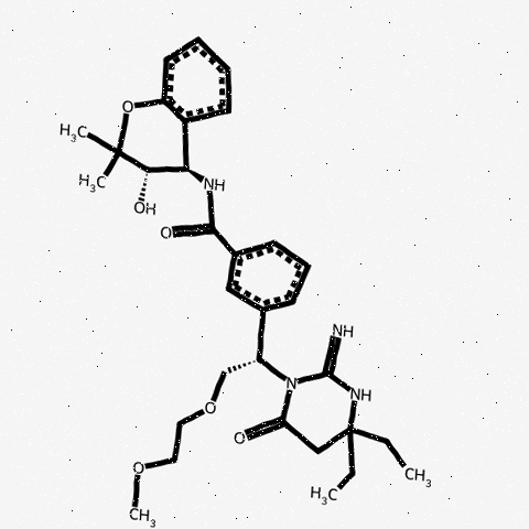 CCC1(CC)CC(=O)N([C@H](COCCOC)c2cccc(C(=O)N[C@@H]3c4ccccc4OC(C)(C)[C@H]3O)c2)C(=N)N1